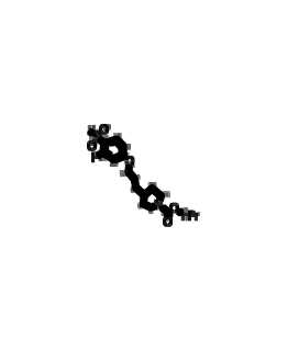 CCCOC(=O)N1CCC(CCCOc2ccc(S(C)(=O)=O)c(F)c2)CC1